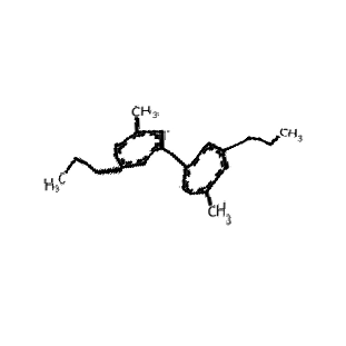 CCCc1cc(C)[c]c(-c2[c]c(C)cc(CCC)c2)c1